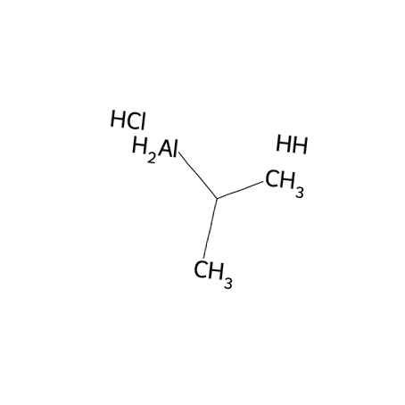 C[CH](C)[AlH2].Cl.[HH]